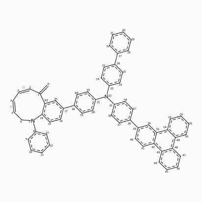 C=C1/C=C\C=C/CN(c2ccccc2)c2ccc(-c3ccc(N(c4ccc(-c5ccccc5)cc4)c4ccc(-c5ccc6c7ccccc7c7ccccc7c6c5)cc4)cc3)cc21